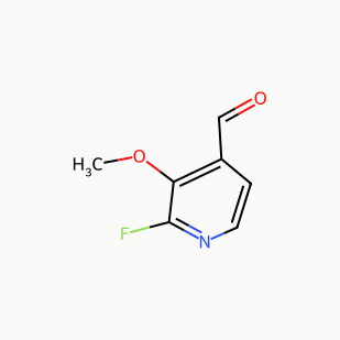 COc1c(C=O)ccnc1F